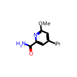 COc1cc(C(C)C)cc(C(N)=O)n1